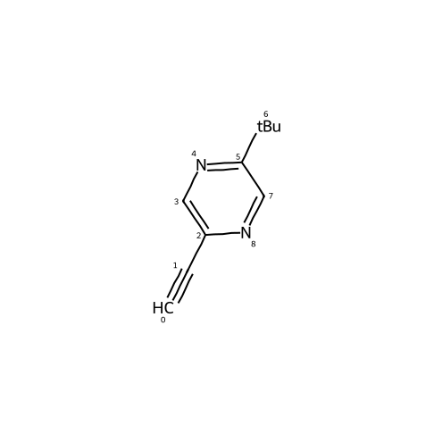 C#Cc1cnc(C(C)(C)C)cn1